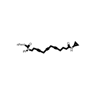 CCCCCC(=O)N(CCC#CCC#CCC#CCCCC(=O)NC1CC1)C(C)C